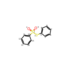 O=S(=O)(Sc1[c]cccc1)c1ccccc1